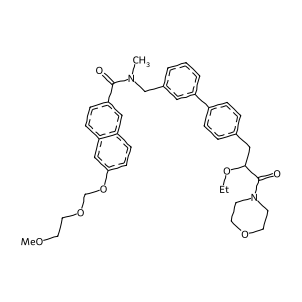 CCOC(Cc1ccc(-c2cccc(CN(C)C(=O)c3ccc4cc(OCOCCOC)ccc4c3)c2)cc1)C(=O)N1CCOCC1